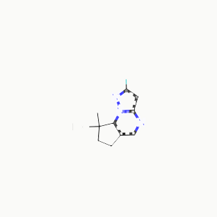 CC1(C(F)(F)F)CCc2cnc3cc(F)nn3c21